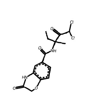 CCC(C)(NC(=O)c1ccc2c(c1)NC(=O)CO2)C(=O)C(Cl)Cl